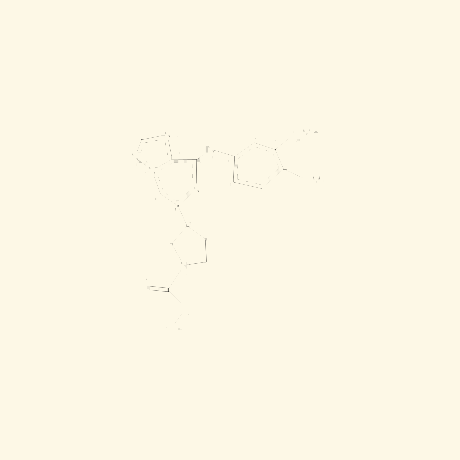 COc1ccc(Nc2nc(C3CCN(C(=O)OC(C)(C)C)C3)cn3ncnc23)cc1OC